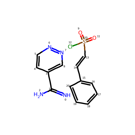 N=C(N)c1ccnnc1.O=S(=O)(Cl)/C=C/c1ccccc1